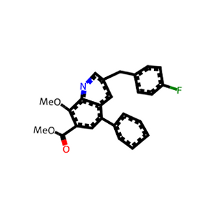 COC(=O)c1cc(-c2ccccc2)c2cc(Cc3ccc(F)cc3)cnc2c1OC